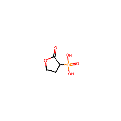 O=C1OCCC1P(=O)(O)O